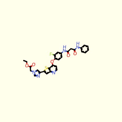 CCOC(=O)Cn1cnc(-c2cc3nccc(Oc4ccc(NC(=O)CC(=O)Nc5ccccc5)cc4F)c3s2)c1